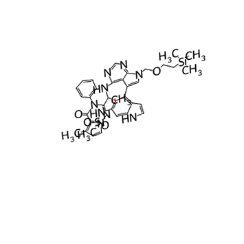 Cc1ccn2nc(C(C)Nc3ncnc4c3c(-c3cc(NS(C)(=O)=O)cc5[nH]ccc35)cn4COCC[Si](C)(C)C)n(-c3ccccc3)c(=O)c12